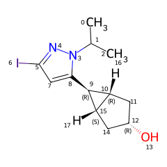 CC(C)n1nc(I)cc1[C@H]1[C@@H]2C[C@H](O)C[C@@H]21